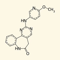 COc1ccc(Nc2ncc3c(n2)-c2ccccc2NC(=O)C3)cn1